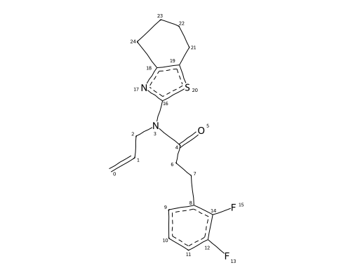 C=CCN(C(=O)CCc1cccc(F)c1F)c1nc2c(s1)CCCC2